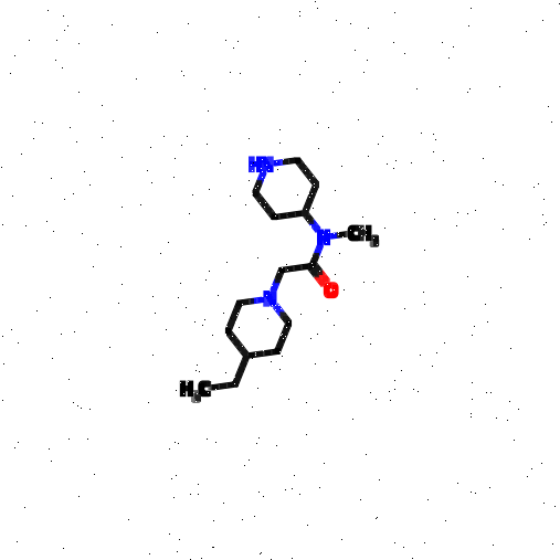 CCC1CCN(CC(=O)N(C)C2CCNCC2)CC1